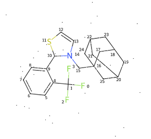 FC(F)(F)c1ccccc1C1SC=CN1CC12CC3CC(CC(C3)C1)C2